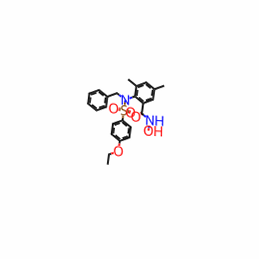 CCOc1ccc(S(=O)(=O)N(Cc2ccccc2)c2c(C)cc(C)cc2C(=O)NO)cc1